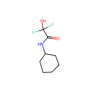 O=C(NC1CCCCC1)C(O)(F)F